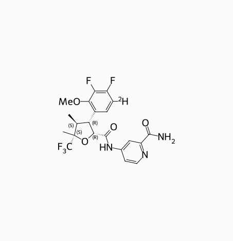 [2H]c1cc([C@@H]2[C@H](C(=O)Nc3ccnc(C(N)=O)c3)O[C@](C)(C(F)(F)F)[C@H]2C)c(OC)c(F)c1F